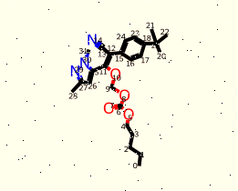 CCCCCOC(=O)OCO/C(=C(/C#N)c1ccc(C(C)(C)C)cc1)c1cc(C)nn1C